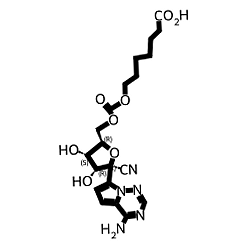 N#C[C@@]1(c2ccc3c(N)ncnn23)O[C@H](COC(=O)OCCCCCCC(=O)O)[C@@H](O)[C@H]1O